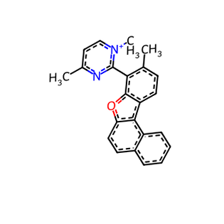 Cc1cc[n+](C)c(-c2c(C)ccc3c2oc2ccc4ccccc4c23)n1